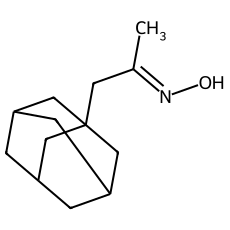 CC(CC12CC3CC(CC(C3)C1)C2)=NO